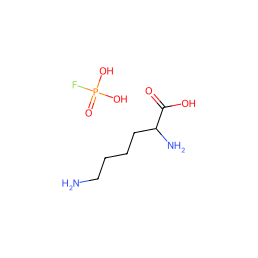 NCCCCC(N)C(=O)O.O=P(O)(O)F